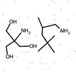 CC([CH2][AlH2])CC(C)(C)C.NC(CO)(CO)CO